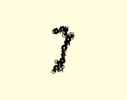 O=C1CCC(N2C(=O)c3ccc(N4CC(F)(CN5CCC(n6cc7cc(NC(=O)c8cnn9ccc(N%10CCOCC%10)nc89)c(C(F)F)cc7n6)CC5)C4)cc3C2=O)C(=O)N1